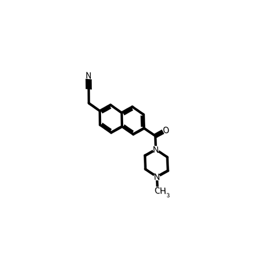 CN1CCN(C(=O)c2ccc3cc(CC#N)ccc3c2)CC1